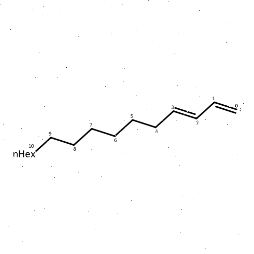 [C]=CC=CCCCCCCCCCCCC